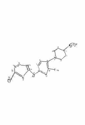 O=C(O)N1CCN(c2ccc(Nc3ncnc(Cl)n3)cc2F)CC1